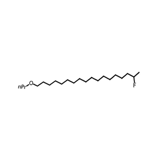 CCCOCCCCCCCCCCCCCCCCC(C)F